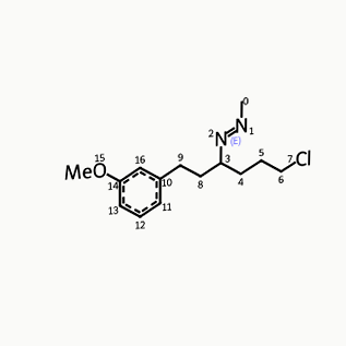 C/N=N/C(CCCCl)CCc1cccc(OC)c1